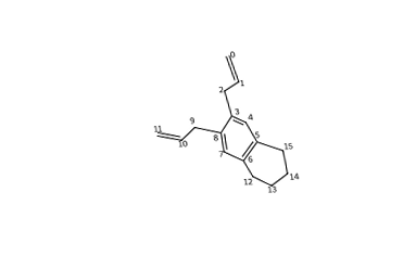 C=CCc1cc2c(cc1CC=C)CCCC2